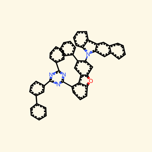 c1ccc(-c2cccc(-c3nc(-c4ccccc4)nc(-c4cccc5oc6cc(-n7c8ccccc8c8cc9ccccc9cc87)c(-c7ccccc7)cc6c45)n3)c2)cc1